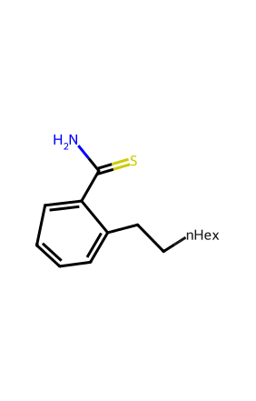 CCCCCCCCc1ccccc1C(N)=S